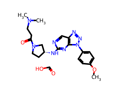 COc1ccc(-n2nnc3cnc(N[C@@H]4CCN(C(=O)CCN(C)C)C4)nc32)cc1.O=CO